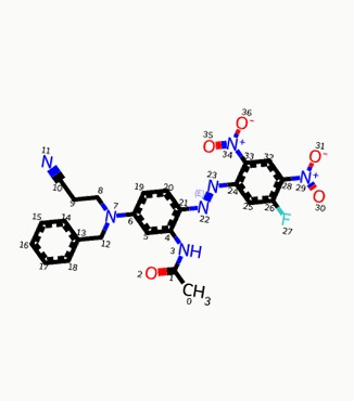 CC(=O)Nc1cc(N(CCC#N)Cc2ccccc2)ccc1/N=N/c1cc(F)c([N+](=O)[O-])cc1[N+](=O)[O-]